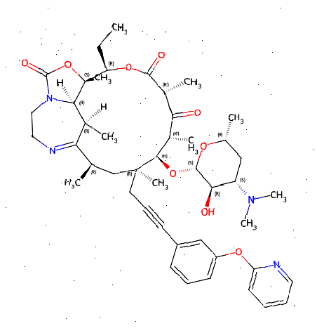 CC[C@H]1OC(=O)[C@H](C)C(=O)[C@H](C)[C@@H](O[C@@H]2O[C@H](C)C[C@H](N(C)C)[C@H]2O)[C@@](C)(CC#Cc2cccc(Oc3ccccn3)c2)C[C@@H](C)C2=NCCN3C(=O)O[C@@]1(C)[C@H]3[C@H]2C